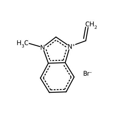 C=C[n+]1cn(C)c2ccccc21.[Br-]